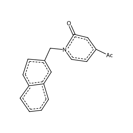 CC(=O)c1ccn(Cc2ccc3ccccc3c2)c(=O)c1